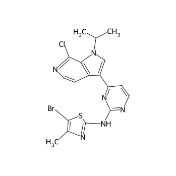 Cc1nc(Nc2nccc(-c3cn(C(C)C)c4c(Cl)nccc34)n2)sc1Br